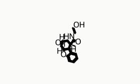 C[C@]1(C(=O)NCCO)C[C@@H]2O[C@@H]2[C@H]2Oc3ccccc3[C@H]21